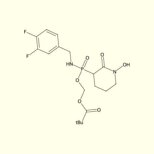 CC(C)(C)C(=O)OCOP(=O)(NCc1ccc(F)c(F)c1)C1CCCN(O)C1=O